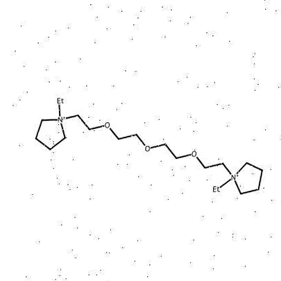 CC[N+]1(CCOCCOCCOCC[N+]2(CC)CCCC2)CCCC1